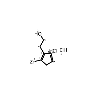 Cl.Cl.OCCC1=[C]([Zr])CC=C1